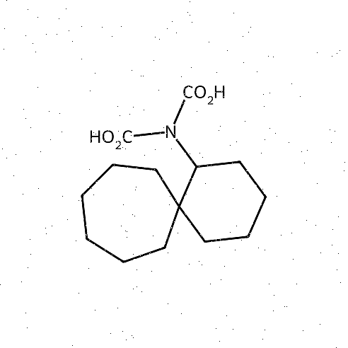 O=C(O)N(C(=O)O)C1CCCCC12CCCCCC2